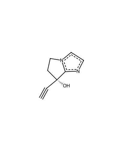 C#C[C@@]1(O)CCn2ccnc21